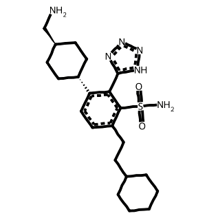 NC[C@H]1CC[C@H](c2ccc(CCC3CCCCC3)c(S(N)(=O)=O)c2-c2nnn[nH]2)CC1